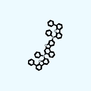 c1ccc(-c2cccc3c2oc2c(N(c4ccccc4)c4ccc5c(c4)oc4cc(N(c6ccccc6)c6cccc7c6oc6c(-c8ccccc8)cccc67)c6ccccc6c45)cccc23)cc1